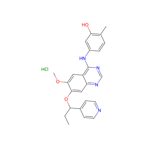 CCC(Oc1cc2ncnc(Nc3ccc(C)c(O)c3)c2cc1OC)c1ccncc1.Cl